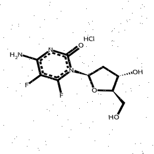 Cl.Nc1nc(=O)n([C@H]2C[C@H](O)[C@@H](CO)O2)c(F)c1F